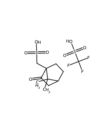 CC1(C)C2CCC1(CS(=O)(=O)O)C(=O)C2.O=S(=O)(O)C(F)(F)F